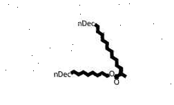 CCCCCCCCCCCCCCCCCCCCC=C(C)C(=O)OCCCCCCCCCCCCCCCCCC